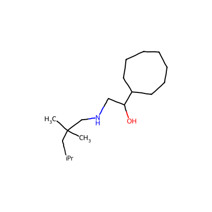 CC(C)CC(C)(C)CNCC(O)C1CCCCCCC1